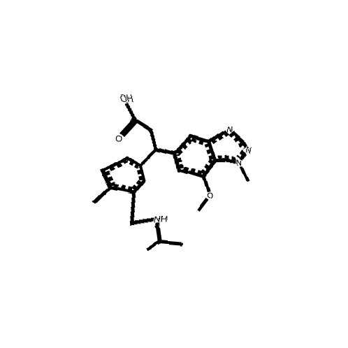 COc1cc(C(CC(=O)O)c2ccc(C)c(CNC(C)C)c2)cc2nnn(C)c12